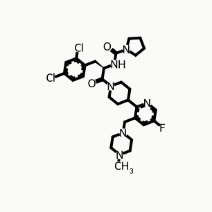 CN1CCN(Cc2cc(F)cnc2C2CCN(C(=O)[C@@H](Cc3ccc(Cl)cc3Cl)NC(=O)N3CCCC3)CC2)CC1